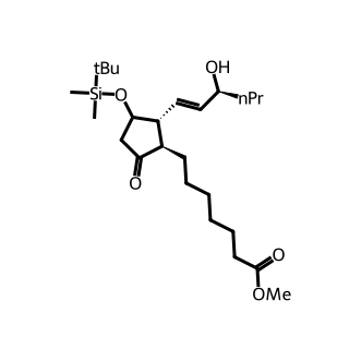 CCC[C@H](O)/C=C/[C@H]1C(O[Si](C)(C)C(C)(C)C)CC(=O)[C@@H]1CCCCCCC(=O)OC